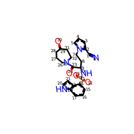 N#Cc1cccn1CCC(NS(=O)(=O)c1cccc2[nH]ccc12)C(=O)N1CCCC(=O)CC1